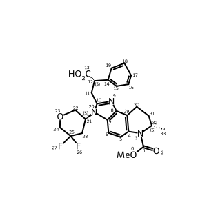 COC(=O)N1c2ccc3c(nc(C[C@H](C(=O)O)c4ccccc4)n3[C@@H]3COCC(F)(F)C3)c2CC[C@@H]1C